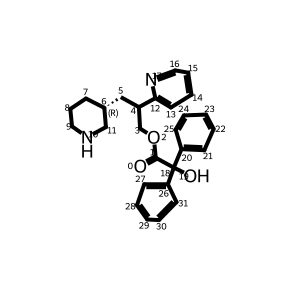 O=C(OCC(C[C@H]1CCCNC1)c1ccccn1)C(O)(c1ccccc1)c1ccccc1